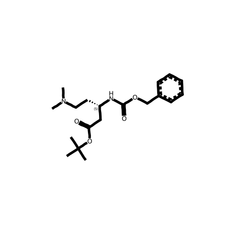 CN(C)CC[C@@H](CC(=O)OC(C)(C)C)NC(=O)OCc1ccccc1